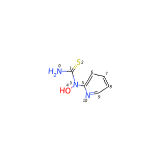 NC(=S)N(O)c1ccccn1